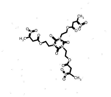 CC(CC(=O)OCCn1c(=O)n(CCOC(=O)CC(C)=S(=O)=O)c(=O)n(CCOC(=O)CC(C)=S(=O)=O)c1=O)=S(=O)=O